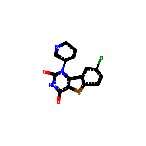 O=c1[nH]c(=O)n(-c2cccnc2)c2c1sc1ccc(Cl)cc12